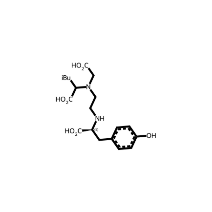 CCC(C)C(C(=O)O)N(CCN[C@@H](Cc1ccc(O)cc1)C(=O)O)CC(=O)O